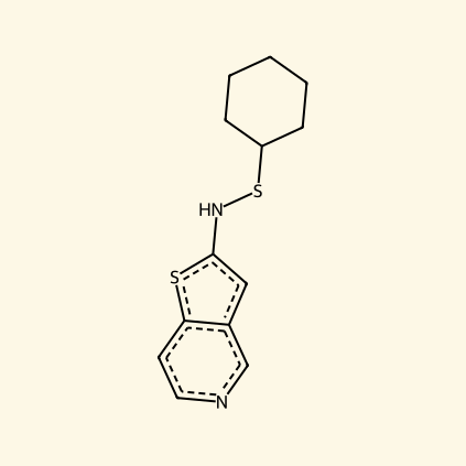 c1cc2sc(NSC3CCCCC3)cc2cn1